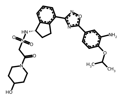 CC(C)Oc1ccc(-c2nc(-c3cccc4c3CC[C@@H]4NS(=O)(=O)CC(=O)N3CCC(O)CC3)no2)cc1N